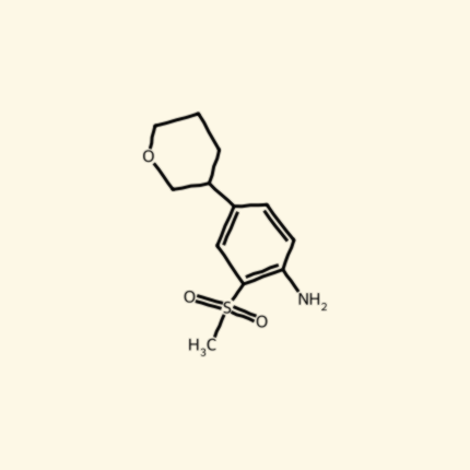 CS(=O)(=O)c1cc(C2CCCOC2)ccc1N